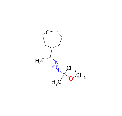 COC(C)(C)/N=N/C(C)C1CCCCCC1